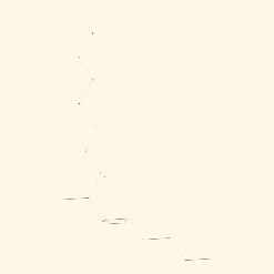 CCCCC=CC(C)[N]CCCCCCC